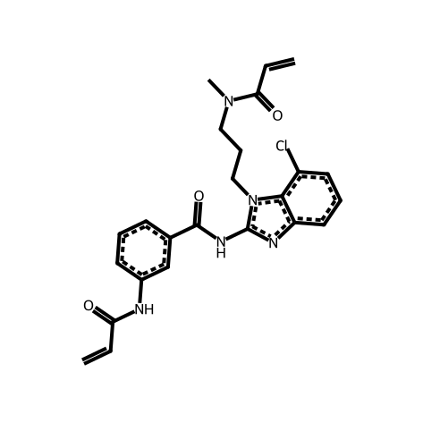 C=CC(=O)Nc1cccc(C(=O)Nc2nc3cccc(Cl)c3n2CCCN(C)C(=O)C=C)c1